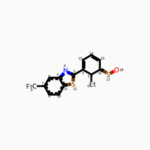 CCC1C(c2nc3cc(C(F)(F)F)ccc3s2)=CC=CC1=S=O